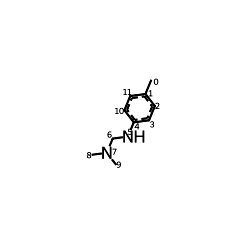 Cc1ccc(NCN(C)C)cc1